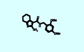 COc1ccc(CNC(=O)c2c(N)sc3c2CCCC3)c(OC)c1